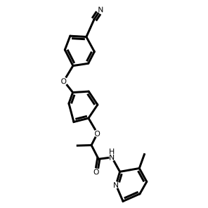 Cc1cccnc1NC(=O)C(C)Oc1ccc(Oc2ccc(C#N)cc2)cc1